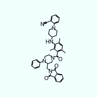 Cc1cc(C)c(C(=O)N2CCN(c3ccccc3)C(CN3C(=O)c4ccccc4C3=O)C2)c(C)c1NC1CCN(c2ccccc2C#N)CC1